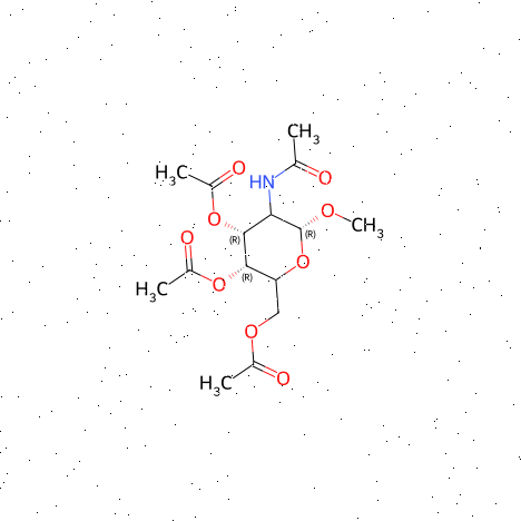 CO[C@@H]1OC(COC(C)=O)[C@H](OC(C)=O)[C@H](OC(C)=O)C1NC(C)=O